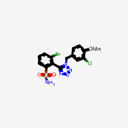 COc1ccc(Cn2nnnc2-c2c(Br)cccc2S(N)(=O)=O)cc1Cl